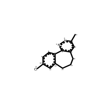 Cc1cc2c(nn1)-c1ccc(Cl)cc1CCC2